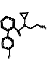 NCCN(C(=O)c1ccccc1-c1ccc(F)cc1)C1CC1